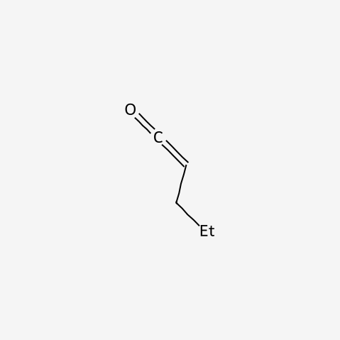 [CH2]CCC=C=O